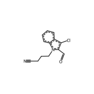 N#CCCCn1c(C=O)c(Cl)c2ccccc21